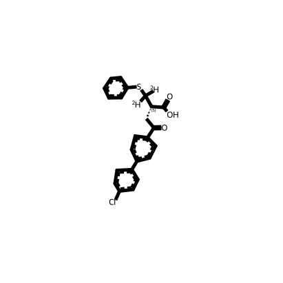 [2H]C([2H])(Sc1ccccc1)[C@@H](CC(=O)c1ccc(-c2ccc(Cl)cc2)cc1)C(=O)O